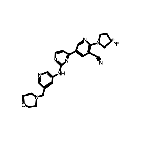 N#Cc1cc(-c2ccnc(Nc3cncc(CN4CCOCC4)c3)n2)cnc1N1CC[C@H](F)C1